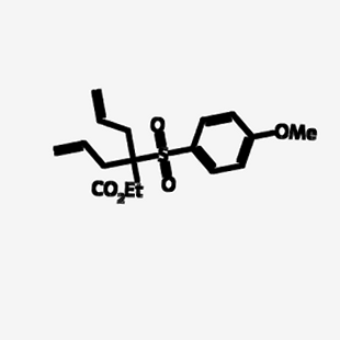 C=CCC(CC=C)(C(=O)OCC)S(=O)(=O)c1ccc(OC)cc1